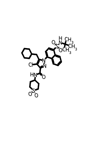 CC(C)(C)NS(=O)(=O)c1ccc(-n2nc(C(=O)NC3CCS(=O)(=O)CC3)c(Cl)c2CC2CCCCC2)c2ccccc12